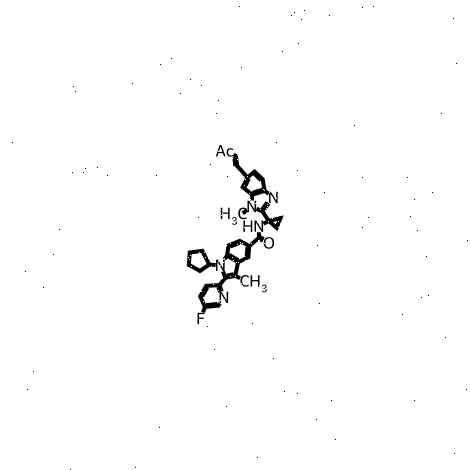 CC(=O)/C=C/c1ccc2nc(C3(NC(=O)c4ccc5c(c4)c(C)c(-c4ccc(F)cn4)n5C4CCCC4)CC3)n(C)c2c1